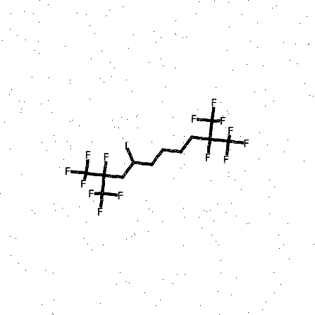 FC(F)(F)C(F)(CCCCC(I)CC(F)(C(F)(F)F)C(F)(F)F)C(F)(F)F